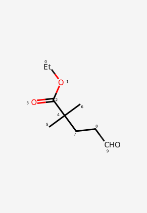 CCOC(=O)C(C)(C)CCC=O